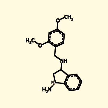 COc1ccc(CNC2C[C@@H](N)c3ccccc32)c(OC)c1